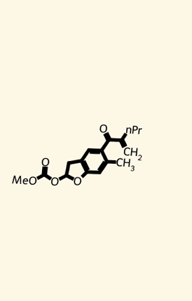 C=C(CCC)C(=O)c1cc2c(cc1C)OC(OC(=O)OC)C2